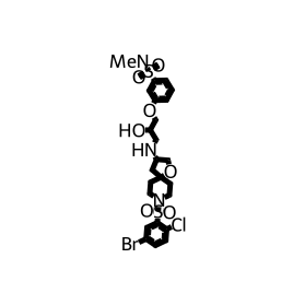 CNS(=O)(=O)c1cccc(OCC(O)CNC2COC3(CCN(S(=O)(=O)c4cc(Br)ccc4Cl)CC3)C2)c1